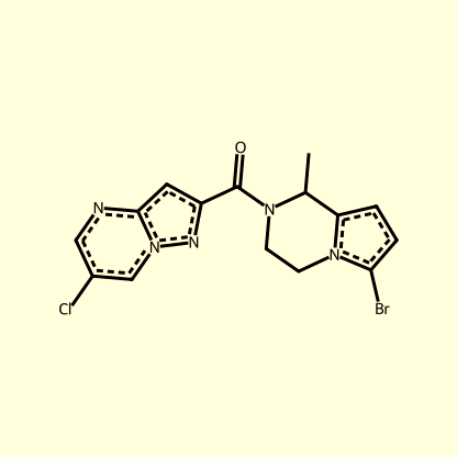 CC1c2ccc(Br)n2CCN1C(=O)c1cc2ncc(Cl)cn2n1